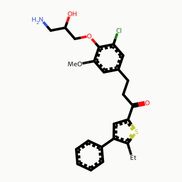 CCc1sc(C(=O)CCc2cc(Cl)c(OCC(O)CN)c(OC)c2)cc1-c1ccccc1